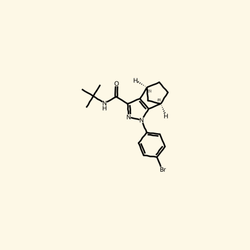 CC(C)(C)NC(=O)c1nn(-c2ccc(Br)cc2)c2c1[C@H]1CC[C@@H]2C1